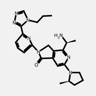 CCCn1cnnc1-c1cccc(N2Cc3c(cc(N4CCC[C@H]4C)nc3[C@H](C)N)C2=O)n1